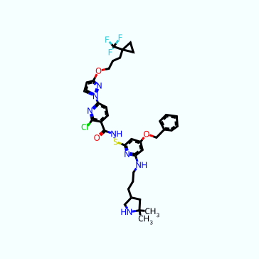 CC1(C)CC(CCCNc2cc(OCc3ccccc3)cc(SNC(=O)c3ccc(-n4ccc(OCCCC5(C(F)(F)F)CC5)n4)nc3Cl)n2)CN1